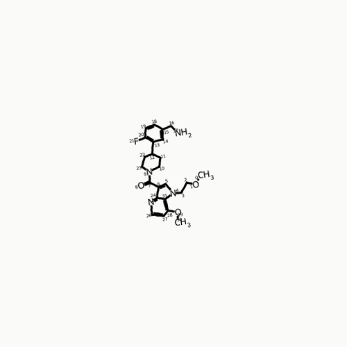 COCCn1cc(C(=O)N2CCC(c3cc(CN)ccc3F)CC2)c2nccc(OC)c21